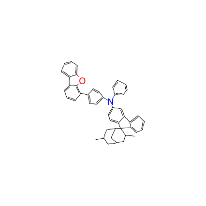 CC1CC2CC(C)C3(c4ccccc4-c4cc(N(c5ccccc5)c5ccc(-c6cccc7c6oc6ccccc67)cc5)ccc43)C(C1)C2